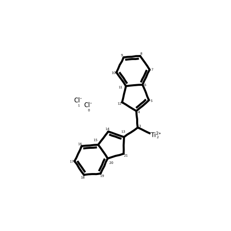 [Cl-].[Cl-].[Ti+2][CH](C1=Cc2ccccc2C1)C1=Cc2ccccc2C1